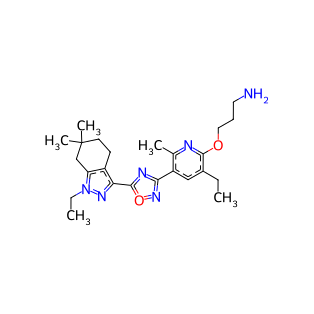 CCc1cc(-c2noc(-c3nn(CC)c4c3CCC(C)(C)C4)n2)c(C)nc1OCCCN